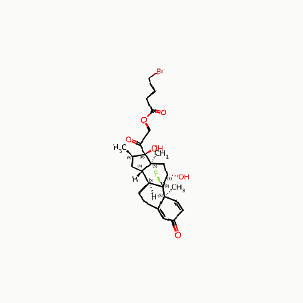 C[C@@H]1C[C@H]2[C@@H]3CCC4=CC(=O)C=C[C@]4(C)[C@@]3(F)[C@@H](O)C[C@]2(C)[C@@]1(O)C(=O)COC(=O)CCCBr